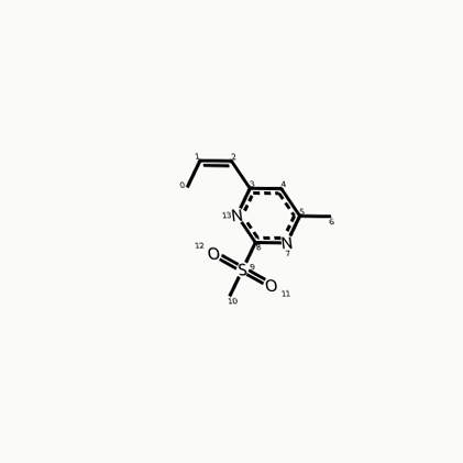 C/C=C\c1cc(C)nc(S(C)(=O)=O)n1